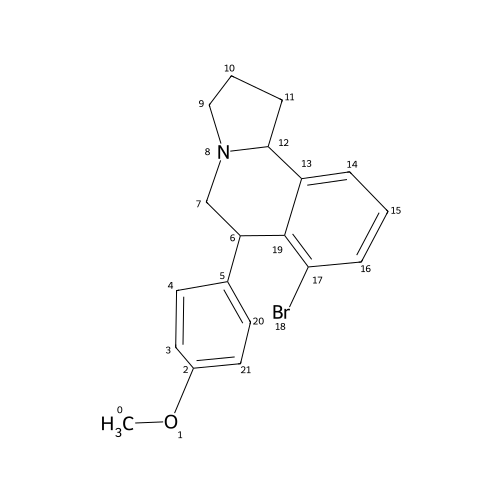 COc1ccc(C2CN3CCCC3c3cccc(Br)c32)cc1